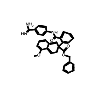 COc1cccc2c1=CCC(C(=O)OCc1ccccc1)(c1ccccc1C(=O)Nc1ccc(C(=N)N)cc1)C=2